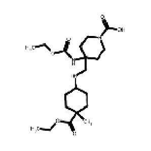 CCOC(=O)NC1(CNC2CCC(C)(C(=O)OCC)CC2)CCN(C(=O)O)CC1